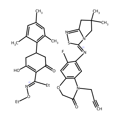 C#CCN1C(=O)COc2cc(F)c(/N=c3\snc4n3CC(C)(C)C4)cc21.CCO/N=C(\CC)C1=C(O)CC(c2c(C)cc(C)cc2C)CC1=O